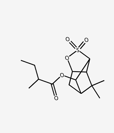 CCC(C)C(=O)OC1C2CC3OS(=O)(=O)C1C3C2(C)C